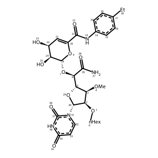 CCCCCCO[C@@H]1[C@H](OC)[C@@H]([C@@H](O[C@H]2OC(C(=O)Nc3ccc(CC)cc3)=C[C@H](O)[C@@H]2O)C(N)=O)O[C@H]1n1ccc(=O)[nH]c1=O